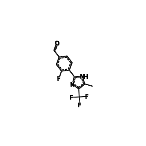 Cc1[nH]c(-c2ccc(C=O)cc2F)nc1C(F)(F)F